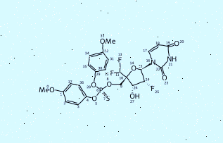 COc1ccc(OP(=S)(OC[C@@]2(C(F)F)O[C@@H](n3ccc(=O)[nH]c3=O)[C@H](F)[C@@H]2O)Oc2ccc(OC)cc2)cc1